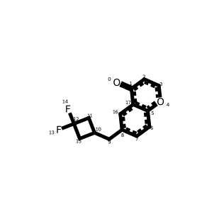 O=c1ccoc2ccc(CC3CC(F)(F)C3)cc12